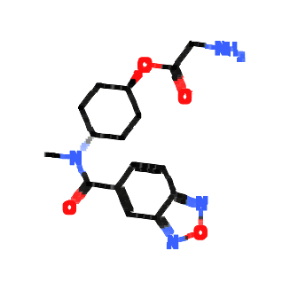 CN(C(=O)c1ccc2nonc2c1)[C@H]1CC[C@H](OC(=O)CN)CC1